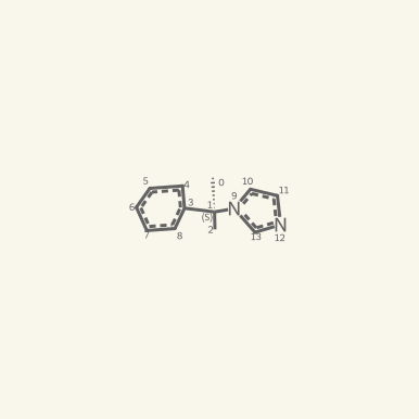 [CH2][C@](C)(c1ccccc1)n1ccnc1